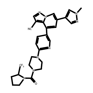 Cn1cc(-c2cc(-c3ccc(N4CCN(C(=O)N5CCCC5C(F)(F)F)CC4)nc3)c3c(C#N)cnn3c2)cn1